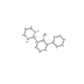 Brc1c(-c2ccccc2)cccc1-c1ncccn1